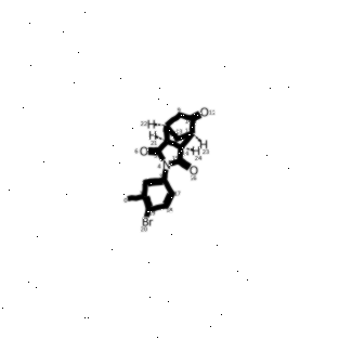 Cc1cc(N2C(=O)[C@H]3[C@H]4CC(=O)[C@H](C4)[C@H]3C2=O)ccc1Br